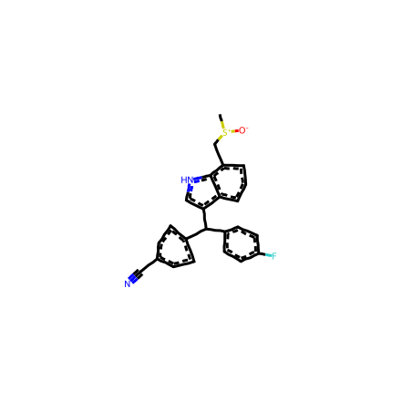 C[S+]([O-])Cc1cccc2c(C(c3ccc(F)cc3)c3ccc(C#N)cc3)c[nH]c12